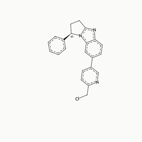 ClCc1ccc(-c2ccc3nc4n(c3c2)[C@@H](c2ccccc2)CC4)cn1